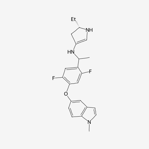 CC[C@H]1CC(NC(C)c2cc(F)c(Oc3ccc4c(ccn4C)c3)cc2F)=CN1